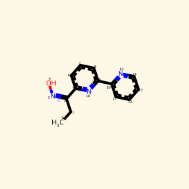 CC/C(=N/O)c1cccc(-c2ccccn2)n1